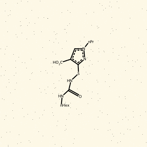 CCCCCCNC(=O)NSc1nn(CCC)cc1C(=O)O